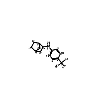 FC(F)(F)c1cnc(NC2CC3CCC2C3)cn1